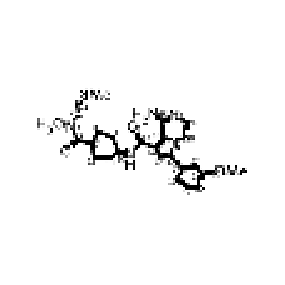 CNCCN(C)C(=O)C1CCC(NC(=O)c2cc(-c3ccnc(OC)c3)n3ncnc(N)c23)CC1